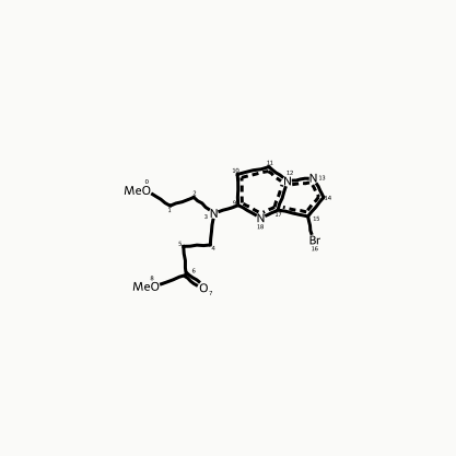 COCCN(CCC(=O)OC)c1ccn2ncc(Br)c2n1